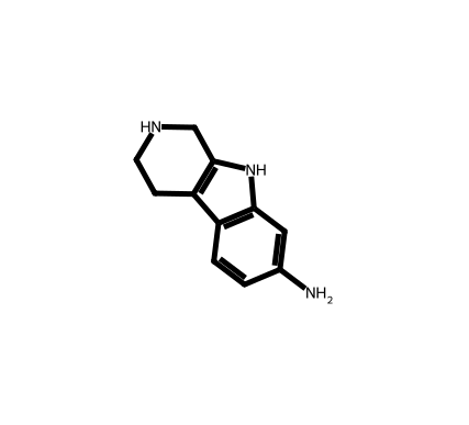 Nc1ccc2c3c([nH]c2c1)CNCC3